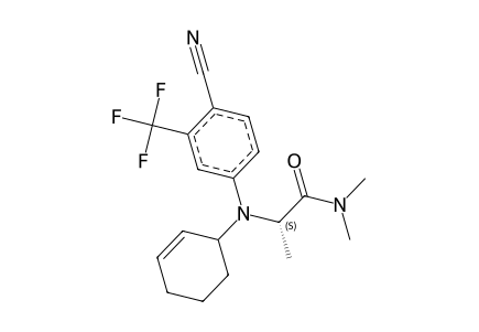 C[C@@H](C(=O)N(C)C)N(c1ccc(C#N)c(C(F)(F)F)c1)C1C=CCCC1